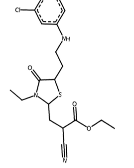 CCOC(=O)C(C#N)CC1SC(CCNc2ccnc(Cl)c2)C(=O)N1CC